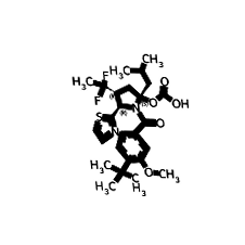 COc1cc(C(=O)N2[C@@H](c3nccs3)[C@H](C(C)(F)F)C[C@]2(CC(C)C)OC(=O)O)ccc1C(C)(C)C